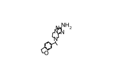 CC(c1ccc2c(c1)OCC2)N1CCn2nc(N)nc2C1